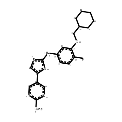 COc1ncc(-c2csc(Nc3ccc(C)c(OCC4CCCCC4)c3)n2)cn1